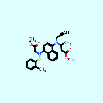 C#CCN(c1ccc(N(CC(=O)OC)Sc2ccccc2C)c2ccccc12)C(C)CC(=O)OC